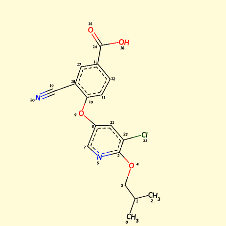 CC(C)COc1ncc(Oc2ccc(C(=O)O)cc2C#N)cc1Cl